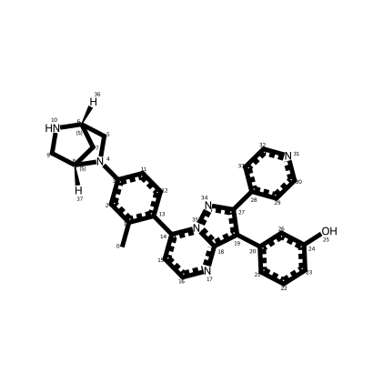 Cc1cc(N2C[C@@H]3C[C@H]2CN3)ccc1-c1ccnc2c(-c3cccc(O)c3)c(-c3ccncc3)nn12